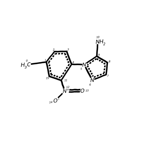 Cc1ccc(-n2nccc2N)c([N+](=O)[O-])c1